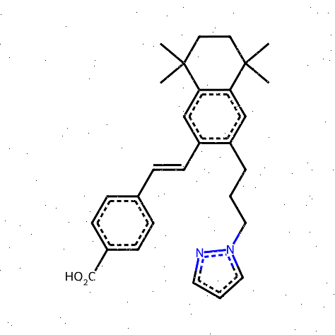 CC1(C)CCC(C)(C)c2cc(CCCn3cccn3)c(C=Cc3ccc(C(=O)O)cc3)cc21